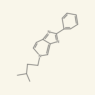 CC(C)CCn1ccc2nc(-c3ccccc3)nc-2c1